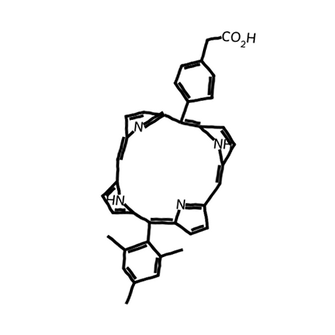 Cc1cc(C)c(-c2c3nc(cc4ccc([nH]4)c(-c4ccc(CC(=O)O)cc4)c4nc(cc5ccc2[nH]5)C=C4)C=C3)c(C)c1